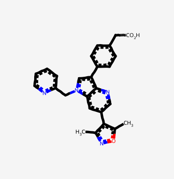 Cc1noc(C)c1-c1cnc2c(-c3ccc(CC(=O)O)cc3)cn(Cc3ccccn3)c2c1